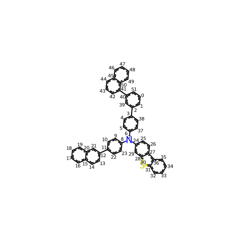 c1cc(-c2ccc(N(c3ccc(-c4ccc5ccccc5c4)cc3)c3ccc4c(c3)sc3ccccc34)cc2)cc(-c2cccc3ccccc23)c1